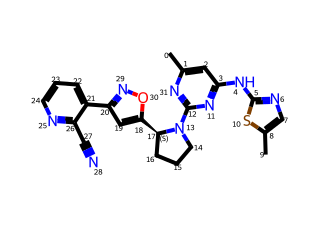 Cc1cc(Nc2ncc(C)s2)nc(N2CCC[C@H]2c2cc(-c3cccnc3C#N)no2)n1